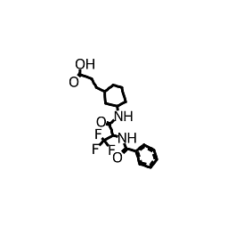 O=C(O)CCC1CCCC(NC(=O)C(NC(=O)c2ccccc2)C(F)(F)F)C1